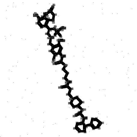 COc1cc(NC(=O)OCCCNC(=O)CCN2CCC(OC(=O)Nc3ccccc3-c3ccccc3)CC2)c(Cl)cc1CNC[C@H](O[Si](C)(C)C(C)(C)C)c1ccc(O)c2c1OCC(=O)N2